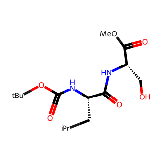 COC(=O)[C@H](CO)NC(=O)[C@H](CC(C)C)NC(=O)OC(C)(C)C